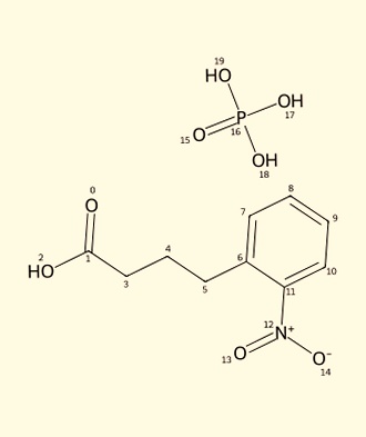 O=C(O)CCCc1ccccc1[N+](=O)[O-].O=P(O)(O)O